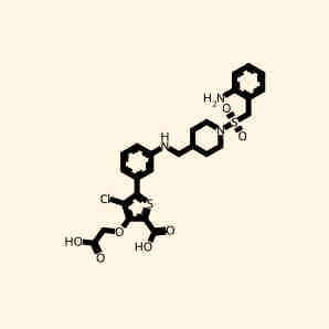 Nc1ccccc1CS(=O)(=O)N1CCC(CNc2cccc(-c3sc(C(=O)O)c(OCC(=O)O)c3Cl)c2)CC1